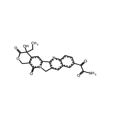 CCC1(O)C(=O)OCc2c1cc1n(c2=O)Cc2cc3cc(C(=O)C(N)=O)ccc3nc2-1